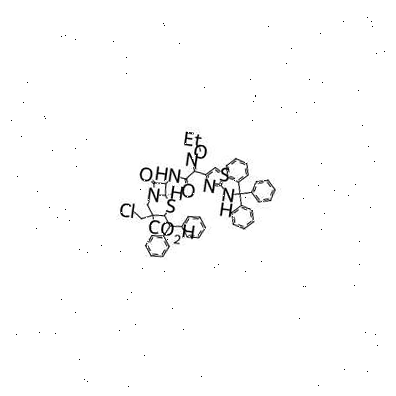 CCON=C(C(=O)NC1C(=O)N2CC(CCl)(C(=O)O)C(C(c3ccccc3)c3ccccc3)S[C@H]12)c1csc(NC(c2ccccc2)(c2ccccc2)c2ccccc2)n1